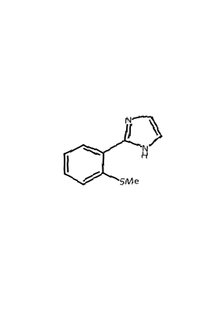 CSc1ccccc1-c1ncc[nH]1